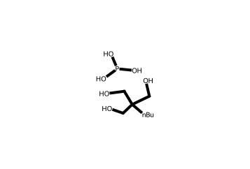 CCCCC(CO)(CO)CO.OP(O)O